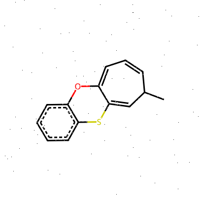 CC1C=CC=C2Oc3ccccc3SC2=C1